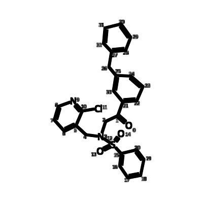 O=C(CN(Cc1cccnc1Cl)S(=O)(=O)c1ccccc1)c1cccc(Cc2ccccc2)c1